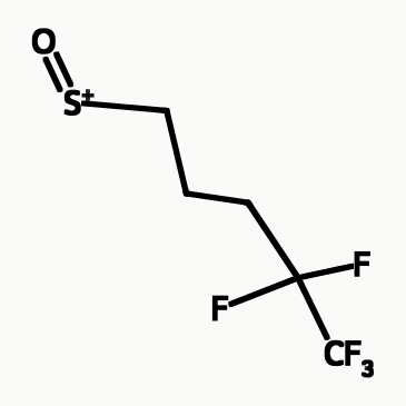 O=[S+]CCCC(F)(F)C(F)(F)F